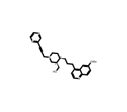 COc1ccc2nccc(CCC[C@@H]3CCN(CC#Cc4cnccn4)C[C@@H]3CO)c2c1